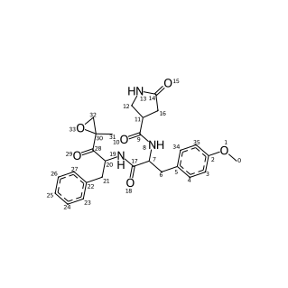 COc1ccc(CC(NC(=O)C2CNC(=O)C2)C(=O)NC(Cc2ccccc2)C(=O)C2(C)CO2)cc1